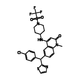 Cn1c(=O)cc(NC2CCN(S(=O)(=O)C(F)(F)F)CC2)c2cc(C(c3ccc(Cl)cc3)c3nccs3)ccc21